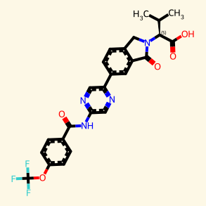 CC(C)[C@@H](C(=O)O)N1Cc2ccc(-c3cnc(NC(=O)c4ccc(OC(F)(F)F)cc4)cn3)cc2C1=O